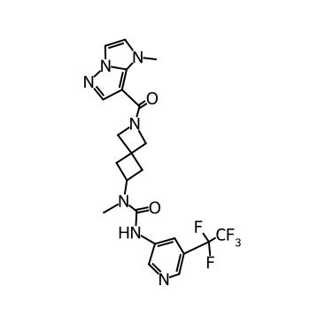 CN(C(=O)Nc1cncc(C(F)(F)C(F)(F)F)c1)C1CC2(C1)CN(C(=O)c1cnn3ccn(C)c13)C2